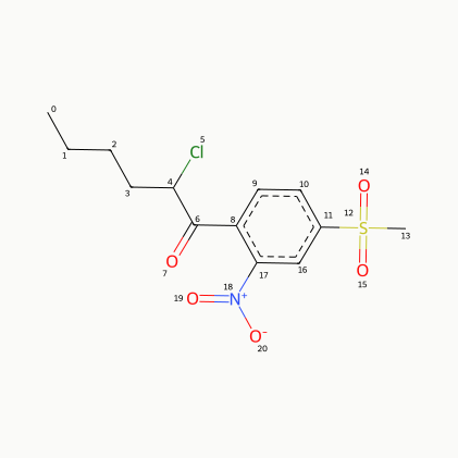 CCCCC(Cl)C(=O)c1ccc(S(C)(=O)=O)cc1[N+](=O)[O-]